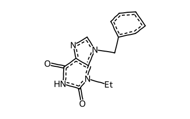 CCn1c(=O)[nH]c(=O)c2ncn(Cc3ccccc3)c21